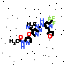 CC(=O)Nc1cc(Oc2cnc3nc(Nc4cc(C5CCOC5)nc(C(F)(F)F)c4)n(C)c3c2C#N)ccn1